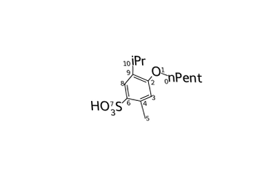 CCCCCOc1cc(C)c(S(=O)(=O)O)cc1C(C)C